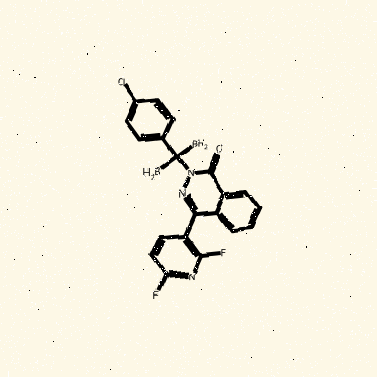 BC(B)(c1ccc(Cl)cc1)n1nc(-c2ccc(F)nc2F)c2ccccc2c1=O